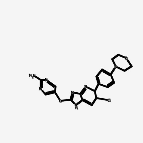 Nc1ncc(Oc2nc3c([nH]2)=CC(Cl)C(c2ccc(N4CCOCC4)cc2)N=3)cn1